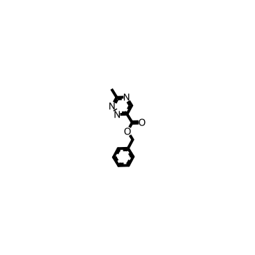 Cc1ncc(C(=O)OCc2ccccc2)nn1